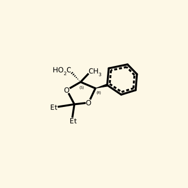 CCC1(CC)O[C@H](c2ccccc2)[C@@](C)(C(=O)O)O1